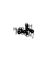 CNC(=O)c1c(-c2ccc(F)cc2)oc2cc(N(C)S(C)(=O)=O)c(-c3cc(-c4cc5ccccc5[nH]4)cc(N4CCOCC4)n3)cc12